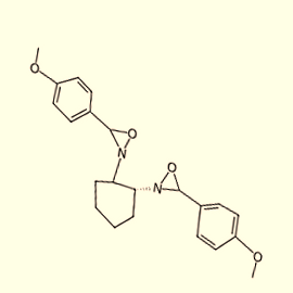 COc1ccc(C2ON2C2CCCC[C@H]2N2OC2c2ccc(OC)cc2)cc1